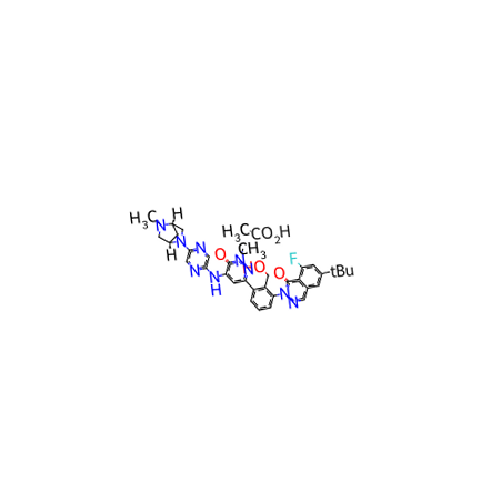 CC(=O)O.CN1C[C@@H]2C[C@H]1CN2c1cnc(Nc2cc(-c3cccc(-n4ncc5cc(C(C)(C)C)cc(F)c5c4=O)c3CO)nn(C)c2=O)cn1